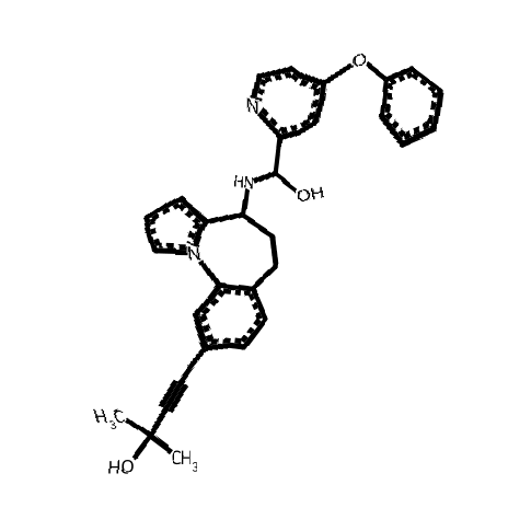 CC(C)(O)C#Cc1ccc2c(c1)-n1cccc1C(NC(O)c1cc(Oc3ccccc3)ccn1)CC2